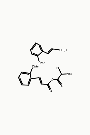 CCCCC(CC)C(=O)OC(=O)C=Cc1ccccc1OC.COc1ccccc1C=CC(=O)O